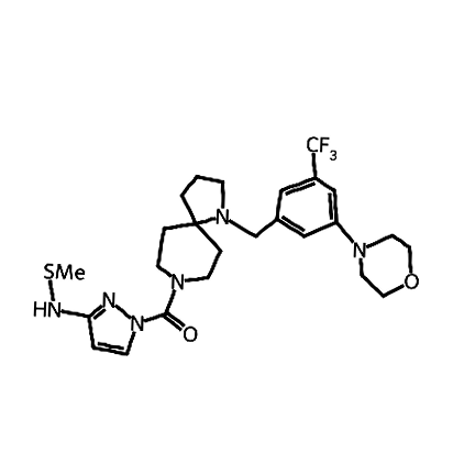 CSNc1ccn(C(=O)N2CCC3(CCCN3Cc3cc(N4CCOCC4)cc(C(F)(F)F)c3)CC2)n1